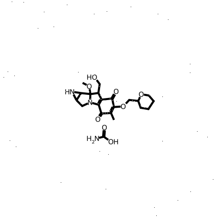 COC12C(CO)C3=C(C(=O)C(C)=C(OCC4CCCCO4)C3=O)N1CC1NC12.NC(=O)O